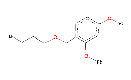 [Li][CH2]CCOCc1ccc(OCC)cc1OCC